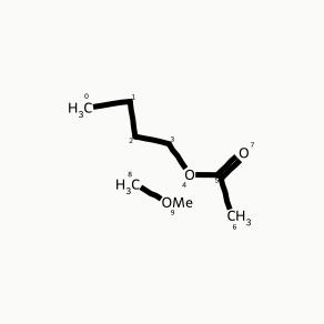 CCCCOC(C)=O.COC